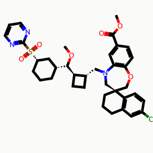 COC(=O)c1ccc2c(c1)N(C[C@@H]1CC[C@H]1C(OC)[C@@H]1CCC[C@H](S(=O)(=O)c3ncccn3)C1)C[C@@]1(CCCc3cc(Cl)ccc31)CO2